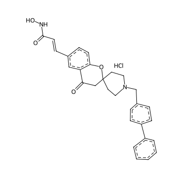 Cl.O=C(/C=C/c1ccc2c(c1)C(=O)CC1(CCN(Cc3ccc(-c4ccccc4)cc3)CC1)O2)NO